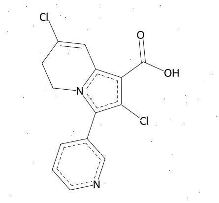 O=C(O)c1c(Cl)c(-c2cccnc2)n2c1C=C(Cl)CC2